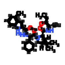 C=CC(=O)[C@@H](NC(=O)[C@@H]1[C@@H]2[C@H](CN1C(=O)[C@@H](NC(=O)c1cc3c(C)cccc3[nH]1)C1CCCCC1)C2(C)C)C(C)(C)C